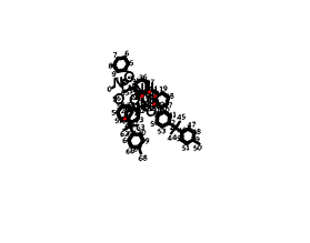 CN=P1(Oc2ccccc2)C(N[PH](Oc2ccccc2)(Oc2ccccc2)N(C)[PH](C)(Oc2ccccc2)Oc2ccc(C(C)(C)c3ccc(C)cc3)cc2)C1Oc1ccc(C(C)(C)c2ccc(C)cc2)cc1